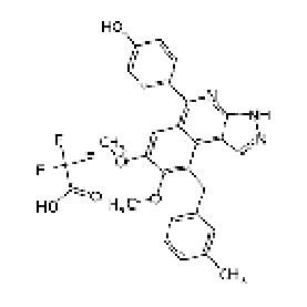 COc1cc2c(-c3ccc(O)cc3)nc3[nH]ncc3c2c(Cc2cccc(C)c2)c1OC.O=C(O)C(F)(F)F